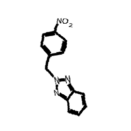 O=[N+]([O-])c1ccc(Cn2nc3ccccc3n2)cc1